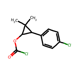 CC1(C)C(OC(=O)Cl)C1c1ccc(Cl)cc1